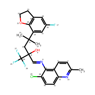 Cc1ccc2c(/N=C/C(O)(CC(C)(C)c3cc(F)cc4c3OCC4)C(F)(F)F)c(Cl)ccc2n1